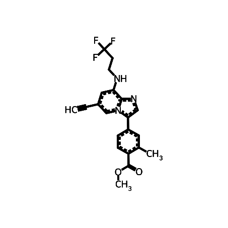 C#Cc1cc(NCCC(F)(F)F)c2ncc(-c3ccc(C(=O)OC)c(C)c3)n2c1